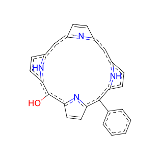 Oc1c2nc(c(-c3ccccc3)c3ccc(cc4nc(cc5ccc1[nH]5)C=C4)[nH]3)C=C2